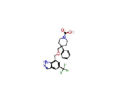 O=C(O)N1CCC(COCc2cc(C(F)(F)F)cc3cn[nH]c23)(c2ccccc2)CC1